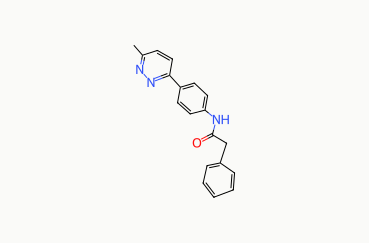 Cc1ccc(-c2ccc(NC(=O)Cc3ccccc3)cc2)nn1